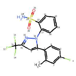 Cc1cc(F)ccc1-c1cc(C(F)(F)F)nn1-c1ccccc1S(N)(=O)=O